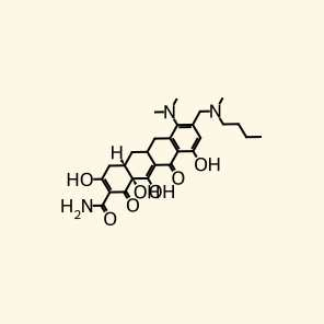 CCCCN(C)Cc1cc(O)c2c(c1N(C)C)CC1C[C@H]3CC(O)=C(C(N)=O)C(=O)[C@@]3(O)C(O)=C1C2=O